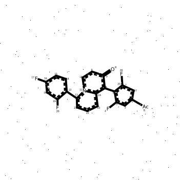 CC(=O)c1cc(F)c(-c2c(=O)ccn3c(-c4ccc(F)cc4F)cccc23)c(F)c1